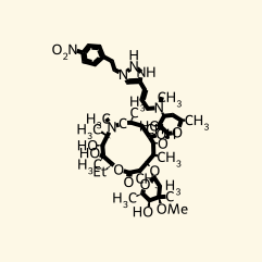 CC[C@H]1OC(=O)[C@H](C)[C@@H](O[C@H]2C[C@@](C)(OC)[C@@H](O)[C@H](C)O2)[C@H](C)[C@@H](O[C@@H]2O[C@H](C)C[C@H](N(C)C/C=C/C3=CN(CCc4ccc([N+](=O)[O-])cc4)NN3)[C@H]2O)[C@](C)(O)C[C@@H](C)CN(C)[C@H](C)[C@@H](O)[C@]1(C)O